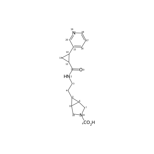 O=C(NCCC1C2CN(C(=O)O)CC12)C1CC1c1cccnc1